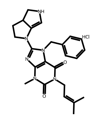 CC(C)=CCn1c(=O)c2c(nc(N3CCC4CNC=C43)n2Cc2ccccc2)n(C)c1=O.Cl